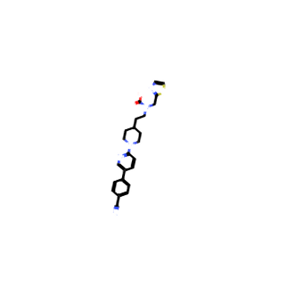 N#Cc1ccc(-c2ccc(N3CCC(CCN(Cc4nccs4)C(=O)O)CC3)nc2)cc1